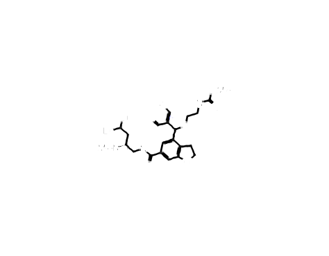 C=C/C(=C\C)C(OCCNC(=O)OC)c1cc(C(=O)NC[C@H](CC(CC)CC)NC)cc2c1CCO2